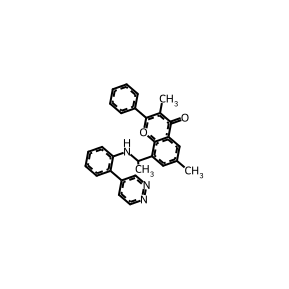 Cc1cc(C(C)Nc2ccccc2-c2ccnnc2)c2oc(-c3ccccc3)c(C)c(=O)c2c1